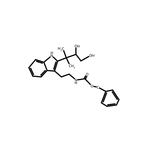 CC(C)(c1[nH]c2ccccc2c1CCNC(=O)OCc1ccccc1)C(O)CO